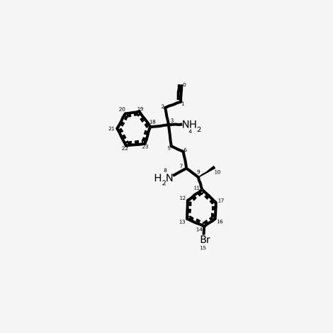 C=CCC(N)(CCC(N)[C@@H](C)c1ccc(Br)cc1)c1ccccc1